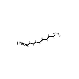 CCCCCCCCCC=C=N